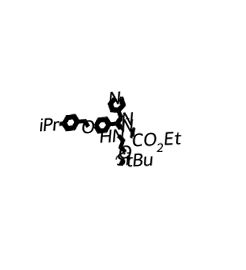 CCOC(=O)CCn1nc(-c2ccncc2)c(-c2ccc(OCc3ccc(C(C)C)cc3)cc2)c1NCCO[Si](C)(C)C(C)(C)C